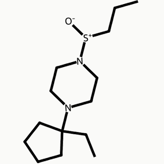 CCC[S+]([O-])N1CCN(C2(CC)CCCC2)CC1